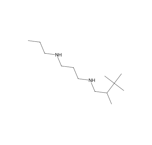 CCCNCCCNCC(C)C(C)(C)C